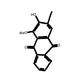 COc1c(O)c(C)cc2c1C(=O)c1ccccc1C2=O